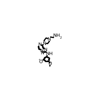 COc1cc(Nc2nc3c(N4CCN(CCN)CC4)nccn3n2)cc(OC)c1